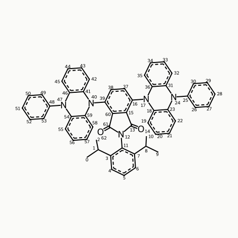 CC(C)c1cccc(C(C)C)c1N1C(=O)c2c(N3c4ccccc4N(c4ccccc4)c4ccccc43)ccc(N3c4ccccc4N(c4ccccc4)c4ccccc43)c2C1=O